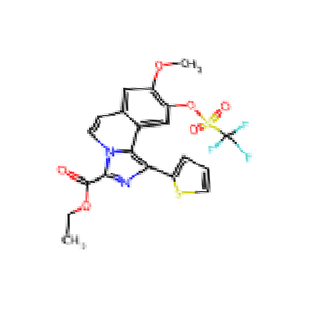 CCOC(=O)c1nc(-c2cccs2)c2c3cc(OS(=O)(=O)C(F)(F)F)c(OC)cc3ccn12